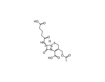 CC(=O)OCC1=C(C(=O)O)N2C(=O)[C@@H](NC(=O)CCCC(=O)O)[C@H]2SC1